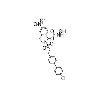 O=C(NO)OC1c2ccc([N+](=O)[O-])cc2CCN1S(=O)(=O)CCc1ccc(-c2ccc(Cl)cc2)cc1